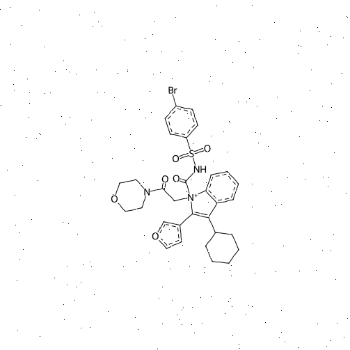 O=C(C[N+]1(C(=O)NS(=O)(=O)c2ccc(Br)cc2)C(c2ccoc2)=C(C2CCCCC2)c2ccccc21)N1CCOCC1